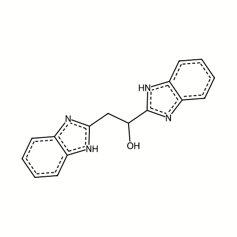 OC(Cc1nc2ccccc2[nH]1)c1nc2ccccc2[nH]1